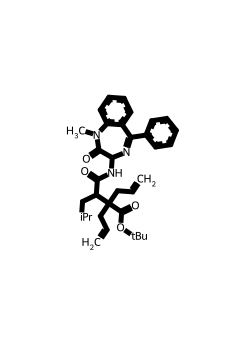 C=CCC(CC=C)(C(=O)OC(C)(C)C)C(CC(C)C)C(=O)NC1N=C(c2ccccc2)c2ccccc2N(C)C1=O